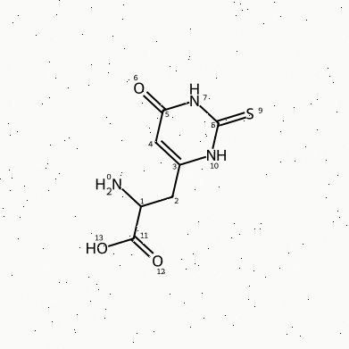 NC(Cc1cc(=O)[nH]c(=S)[nH]1)C(=O)O